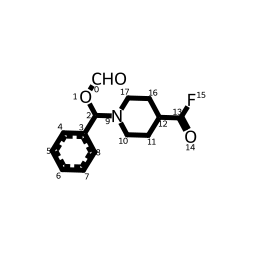 O=COC(c1ccccc1)N1CCC(C(=O)F)CC1